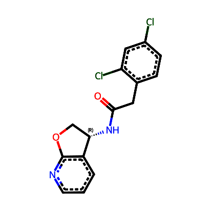 O=C(Cc1ccc(Cl)cc1Cl)N[C@H]1COc2ncccc21